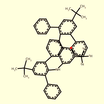 [2H]C([2H])([2H])c1cc(Nc2c(-c3ccccc3)cc(C(C)(C)C)cc2-c2ccccc2)cc(Nc2c(-c3ccccc3)cc(C(C)(C)C)cc2-c2ccccc2)c1